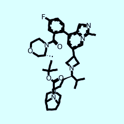 Cc1ncc2c(-c3ccc(F)cc3C(=O)N3CCOC[C@H]3C)cc(C3CN([C@H](CCCN4C5CCC4CN(C(=O)OC(C)(C)C)C5)C(C)C)C3)cn12